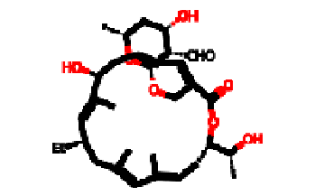 CC[C@H]1/C=C(\C)[C@@H](O)C/C=C/C=C(\CO[C@@H]2O[C@H](C)C[C@H](O)[C@@H]2C=O)C(=O)O[C@H]([C@@H](C)O)C/C=C(C)/C=C(\C)C1